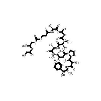 CCC(CO)OC(COC(=O)NCCC(=O)N[C@H](C(=O)OC(OC(=O)N(C)[C@H](C(=O)N[C@H](C(=O)N(C)[C@H]([C@H](C)CC(=O)N1CCC[C@H]1[C@H](C)[C@@H](C)C(=O)N[C@H](C)[C@@H](O)c1ccccc1)[C@@H](C)CC)C(C)C)C(C)C)C(C)C)C(C)C)OC